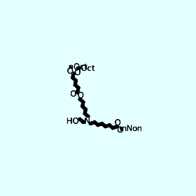 CCCCCCCCCOC(=O)CCCCCCCN(CCO)CCCCCCOC(=O)CCCCC(OCCCCCCCC)OCCCCCCCC